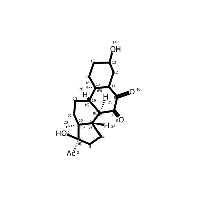 CC(=O)[C@@]1(O)CC[C@H]2[C@@H]3C(=O)C(=O)C4CC(O)CC[C@]4(C)[C@H]3CC[C@@]21C